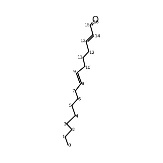 CCCCCCCCC=CCCCC=CC=O